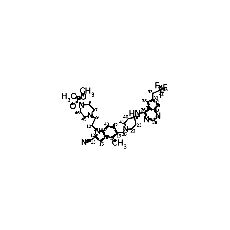 COP(C)(=O)N1CCN(CCn2c(C#N)cc3c(C)c(CN4CCC(Nc5ncnc6sc(CC(F)(F)F)cc56)CC4)ccc32)CC1